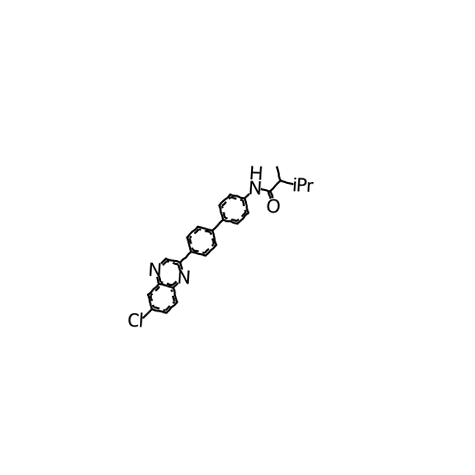 CC(C)C(C)C(=O)Nc1ccc(-c2ccc(-c3cnc4cc(Cl)ccc4n3)cc2)cc1